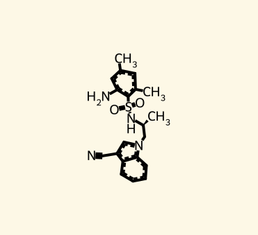 Cc1cc(C)c(S(=O)(=O)N[C@@H](C)Cn2cc(C#N)c3ccccc32)c(N)c1